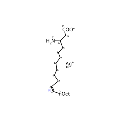 CCCCCCCC/C=C\CCCCCCCC(N)CC(=O)[O-].[Ag+]